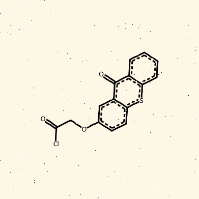 O=C(Cl)COc1ccc2sc3ccccc3c(=O)c2c1